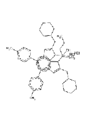 CC[CH2][Zr]([CH3])(=[SiH2])([CH]1C(CC2CCCCC2)=Cc2c(-c3ccc(C)cc3)cccc21)[CH]1C(CC2CCCCC2)=Cc2c(-c3ccc(C)cc3)cccc21.Cl.Cl